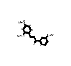 COc1cccc(C(=O)C=Cc2ccc(OC)cc2OC)c1